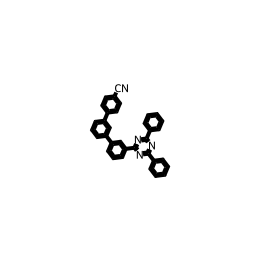 N#Cc1ccc(-c2cccc(-c3cccc(-c4nc(-c5ccccc5)nc(-c5ccccc5)n4)c3)c2)cc1